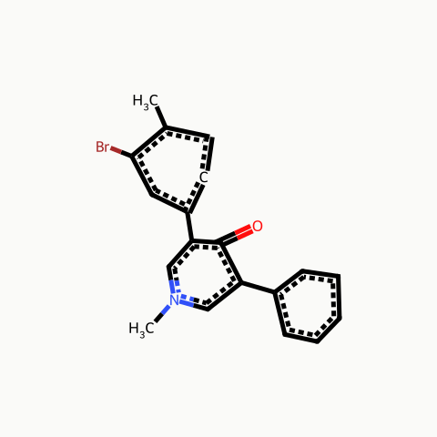 Cc1ccc(-c2cn(C)cc(-c3ccccc3)c2=O)cc1Br